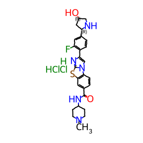 CN1CCC(NC(=O)c2ccc3c(c2)sc2nc(-c4ccc([C@H]5C[C@@H](O)CN5)cc4F)cn23)CC1.Cl.Cl